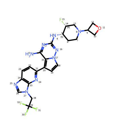 Nc1nc(N[C@H]2CCN(C3COC3)C[C@H]2F)nn2ccc(-c3ccc4ncn(CC(F)(F)F)c4n3)c12